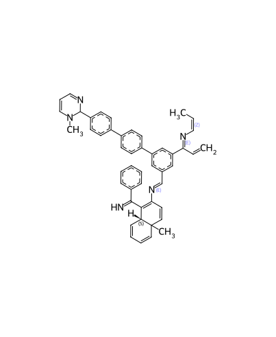 C=C/C(=N\C=C/C)c1cc(/C=N/C2=C(C(=N)c3ccccc3)[C@H]3C=CC=CC3(C)C=C2)cc(-c2ccc(-c3ccc(C4N=CC=CN4C)cc3)cc2)c1